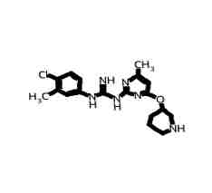 Cc1cc(OC2CCCNC2)nc(NC(=N)Nc2ccc(Cl)c(C)c2)n1